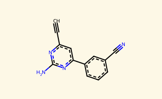 C#Cc1cc(-c2cccc(C#N)c2)nc(N)n1